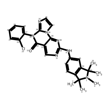 CN1C(C)(C)c2ccc(Nc3ncc4c(=O)n(-c5ccccc5Cl)c5nccn5c4n3)cc2C1(C)C